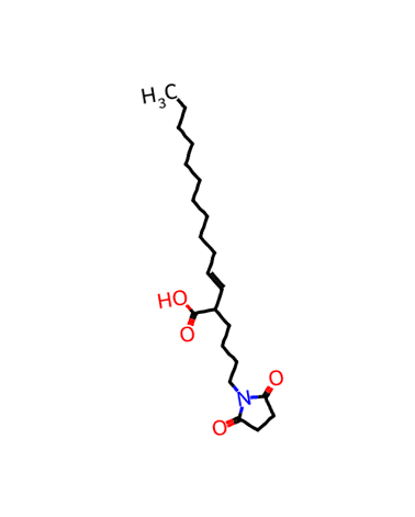 CCCCCCCCCCC=CC(CCCCN1C(=O)CCC1=O)C(=O)O